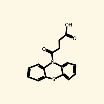 O=C(O)CCC(=O)N1c2ccccc2Sc2ccccc21